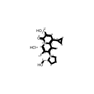 Cc1c(N2CCC[C@@H]2CO)c(F)cn2c(=O)c(C(=O)O)cc(C3CC3)c12.Cl